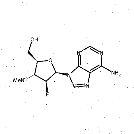 CN[C@H]1[C@H](F)[C@H](n2cnc3c(N)ncnc32)O[C@@H]1CO